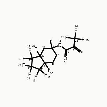 C=C(C(=O)OC1(C)CCC2(F)C(F)(F)C(F)(F)C(F)(F)C2(F)C1)C(F)(F)F